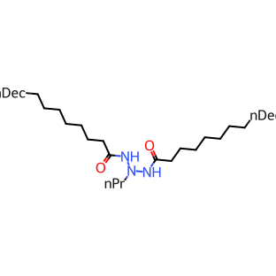 CCCCCCCCCCCCCCCCCC(=O)NN(CCC)NC(=O)CCCCCCCCCCCCCCCCC